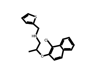 CC(CNCc1cccs1)Oc1ccc2ccccc2c1Cl